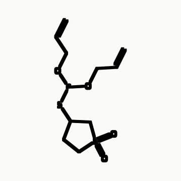 C=CCOP(OCC=C)SC1CCS(=O)(=O)C1